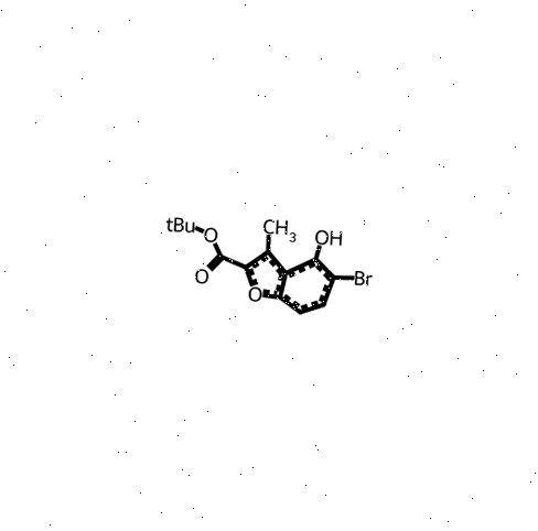 Cc1c(C(=O)OC(C)(C)C)oc2ccc(Br)c(O)c12